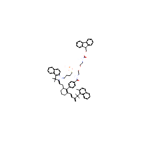 C=C(/C=C/C1=C(c2ccc(C(=O)NCCOCCNC(=O)OCC3c4ccccc4-c4ccccc43)cc2)C(C/C=C2\N(CCCCS(=O)(=O)O)c3ccc4ccccc4c3C2(C)C)CCC1)C(C)(C)c1c(C)ccc2ccccc12